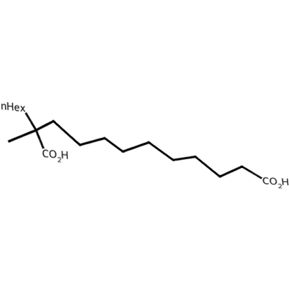 CCCCCCC(C)(CCCCCCCCCC(=O)O)C(=O)O